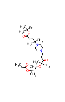 C=CC(=O)OC(C)(C)CCOC(C)(C)C(=O)CCN1CCN(C(C)(C)CCC(=O)OC(C)(C)CC)CC1